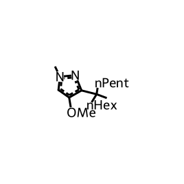 CCCCCCC(C)(CCCCC)c1nn(C)cc1OC